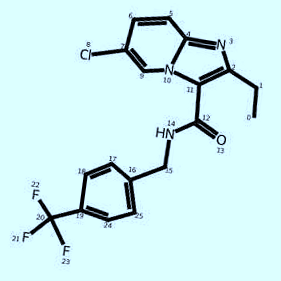 CCc1nc2ccc(Cl)cn2c1C(=O)NCc1ccc(C(F)(F)F)cc1